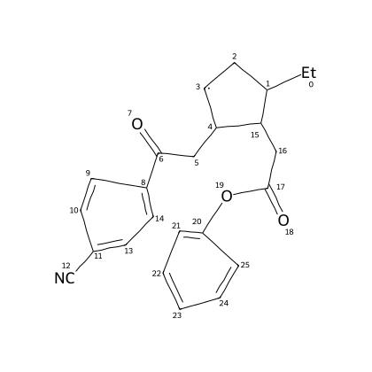 [CH2]CC1C[CH]C(CC(=O)c2ccc(C#N)cc2)C1CC(=O)Oc1ccccc1